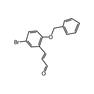 O=C/C=C/c1cc(Br)ccc1OCc1ccccc1